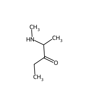 CCC(=O)C(C)NC